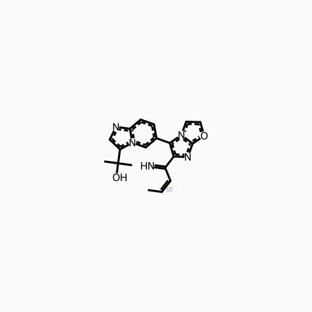 C/C=C\C(=N)c1nc2occn2c1-c1ccc2ncc(C(C)(C)O)n2c1